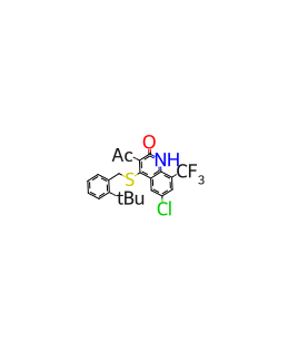 CC(=O)c1c(SCc2ccccc2C(C)(C)C)c2cc(Cl)cc(C(F)(F)F)c2[nH]c1=O